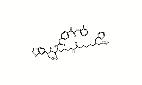 Cc1ccccc1NC(=O)Nc1ccc(CC(=O)N[C@@H](CCCCNC(=O)CCCCCN(CC(=O)O)Cc2ccccn2)C(=O)N[C@@H](CC=O)c2ccc3c(c2)OCO3)cc1